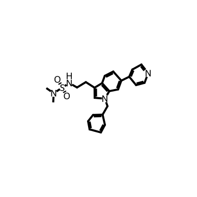 CN(C)S(=O)(=O)NCCc1cn(Cc2ccccc2)c2cc(-c3ccncc3)ccc12